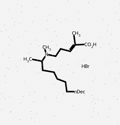 Br.CCCCCCCCCCCCCCCC(C)N(C)CCC=C(C)C(=O)O